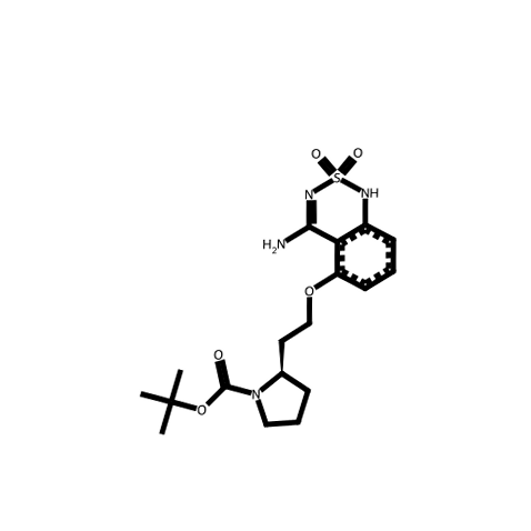 CC(C)(C)OC(=O)N1CCC[C@@H]1CCOc1cccc2c1C(N)=NS(=O)(=O)N2